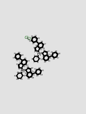 C1=C[CH]([Hf+]([CH]2CCCCC2)[CH]2C=Cc3c(-c4ccccc4)cccc32)c2cccc(-c3ccccc3)c21.C1=C[CH]([Hf+]([CH]2CCCCC2)[CH]2C=Cc3c(-c4ccccc4)cccc32)c2cccc(-c3ccccc3)c21.[Cl-].[Cl-]